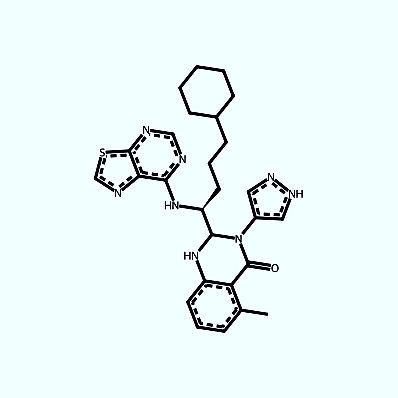 Cc1cccc2c1C(=O)N(c1cn[nH]c1)C([C@H](CCCC1CCCCC1)Nc1ncnc3scnc13)N2